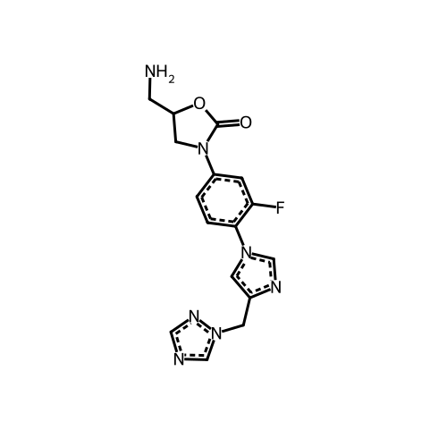 NCC1CN(c2ccc(-n3cnc(Cn4cncn4)c3)c(F)c2)C(=O)O1